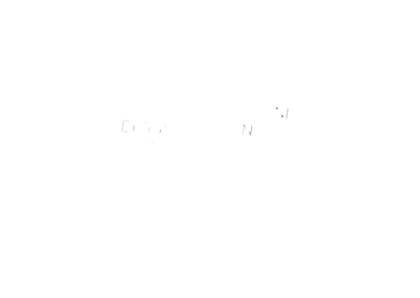 CCOC(=O)Cc1cccnc1Cc1ccccc1.N